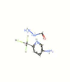 NNC=O.Nc1ccc(C(F)(F)F)nc1